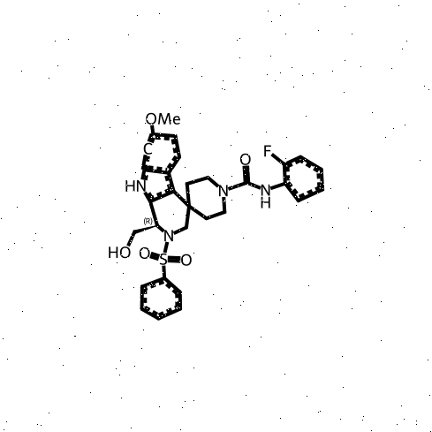 COc1ccc2c3c([nH]c2c1)[C@H](CO)N(S(=O)(=O)c1ccccc1)CC31CCN(C(=O)Nc2ccccc2F)CC1